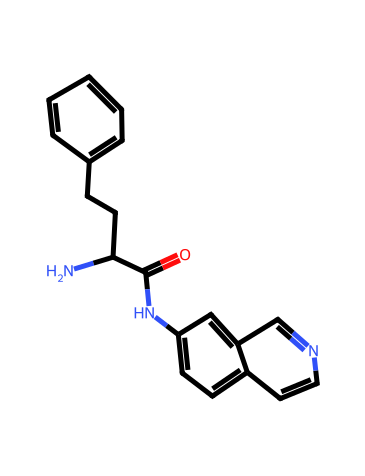 NC(CCc1ccccc1)C(=O)Nc1ccc2ccncc2c1